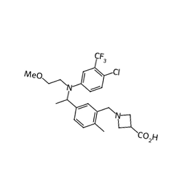 COCCN(c1ccc(Cl)c(C(F)(F)F)c1)C(C)c1ccc(C)c(CN2CC(C(=O)O)C2)c1